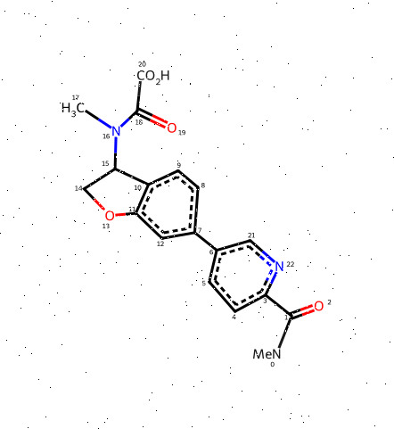 CNC(=O)c1ccc(-c2ccc3c(c2)OCC3N(C)C(=O)C(=O)O)cn1